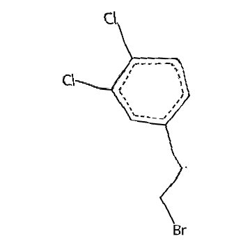 Clc1ccc([CH]CBr)cc1Cl